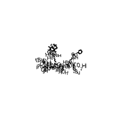 CC[C@H](C)[C@H](NC(=O)[C@@H](CCCNC(=N)NS(=O)(=O)c1c(C)c(C)c2c(c1C)CCC(C)(C)O2)NC(=O)[C@H](CC(C)C)NC(=O)[C@@H](NC(=O)OC(C)(C)C)[C@H](O)C(C)C)C(=O)N[C@H](C(=O)NCC(=O)N[C@@H](CCCNC(=O)OCc1ccccc1)C(=O)N[C@@H](COC(C)(C)C)C(=O)O)[C@H](C)O